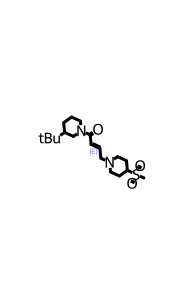 CC(C)(C)C1CCCN(C(=O)/C=C/CN2CCC(S(C)(=O)=O)CC2)C1